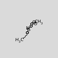 CCCCCCc1ccc(-c2cnc(-c3ccc4cc(OC(C)=O)ccc4c3)s2)cc1